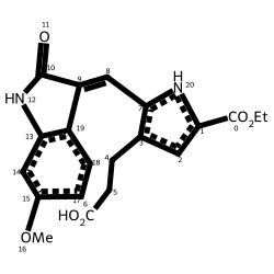 CCOC(=O)c1cc(CCC(=O)O)c(C=C2C(=O)Nc3cc(OC)ccc32)[nH]1